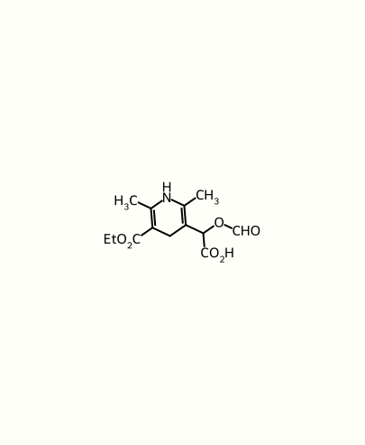 CCOC(=O)C1=C(C)NC(C)=C(C(OC=O)C(=O)O)C1